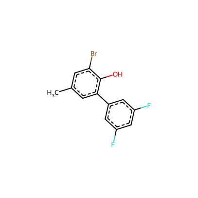 Cc1cc(Br)c(O)c(-c2cc(F)cc(F)c2)c1